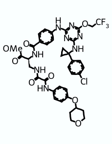 COC(=O)[C@H](CNC(=O)C(=O)Nc1ccc(OC2CCOCC2)cc1)NC(=O)c1ccc(Nc2nc(NC3(c4ccc(Cl)cc4)CC3)nc(OCC(F)(F)F)n2)cc1